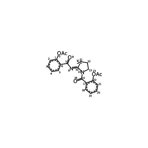 CC(=O)Oc1ccccc1C(=O)N=C1[Se]CCN1C(=O)c1ccccc1OC(C)=O